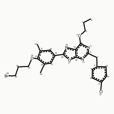 CCCOc1nc(Cc2ccc(Cl)cc2)nc2oc(-c3cc(C)c(OCCCBr)c(C)c3)nc12